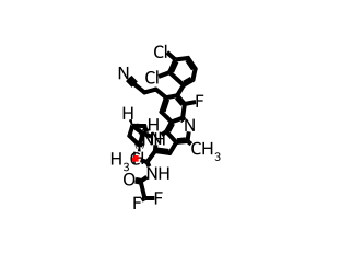 Cc1nc2c(F)c(-c3cccc(Cl)c3Cl)c(CCC#N)cc2c2c1cc(C(C)NC(=O)C(F)F)n2[C@H]1[C@H]2CN[C@@H]1C2